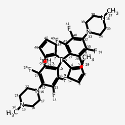 CC1=[C]([Ti]([C]2=C(C)C=CC2)([c]2c(F)c(F)c(N3CCN(C)CC3)c(F)c2F)[c]2c(F)c(F)c(N3CCN(C)CC3)c(F)c2F)CC=C1